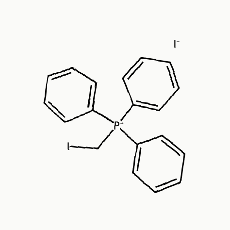 IC[P+](c1ccccc1)(c1ccccc1)c1ccccc1.[I-]